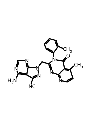 [C-]#[N+]c1nn(Cc2nc3nccc(C)c3c(=O)n2-c2ccccc2C)c2ncnc(N)c12